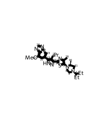 CCC(CC)N1CCN(c2sc(-c3n[nH]c(-c4cc(OC)c5ncnn5c4)c3C(C)C)nc2C)[C@@H](C)C1